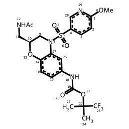 COc1ccc(S(=O)(=O)N2C[C@H](CNC(C)=O)Oc3ccc(NC(=O)OC(C)(C)C(F)(F)F)cc32)cn1